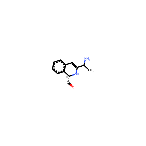 CC(N)C1=Cc2ccccc2[C@@H](C=O)N1